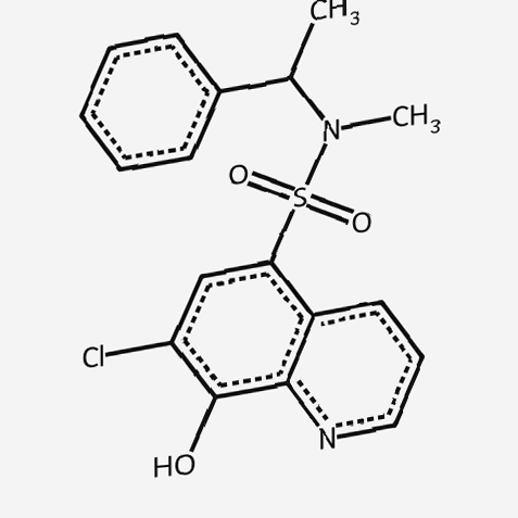 CC(c1ccccc1)N(C)S(=O)(=O)c1cc(Cl)c(O)c2ncccc12